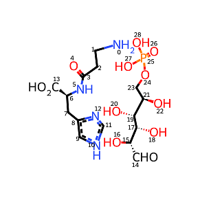 NCCC(=O)N[C@@H](Cc1c[nH]cn1)C(=O)O.O=C[C@H](O)[C@@H](O)[C@H](O)[C@H](O)COP(=O)(O)O